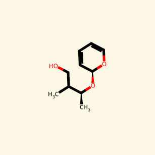 CC(CO)[C@H](C)O[C@H]1C=CC=CO1